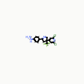 NNc1ccc(C2=NCC(c3cc(Cl)nc(Cl)c3)(C(F)(F)F)C2)cc1